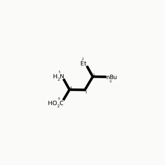 CCCCC(CC)CC(N)C(=O)O